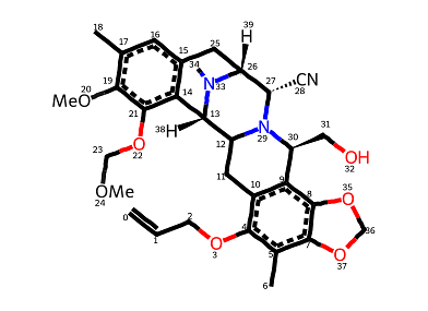 C=CCOc1c(C)c2c(c3c1CC1[C@@H]4c5c(cc(C)c(OC)c5OCOC)C[C@H]([C@H](C#N)N1[C@H]3CO)N4C)OCO2